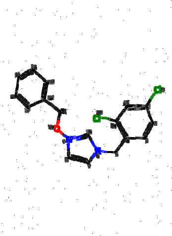 Clc1ccc(Cn2cc[n+](OCc3ccccc3)c2)c(Cl)c1